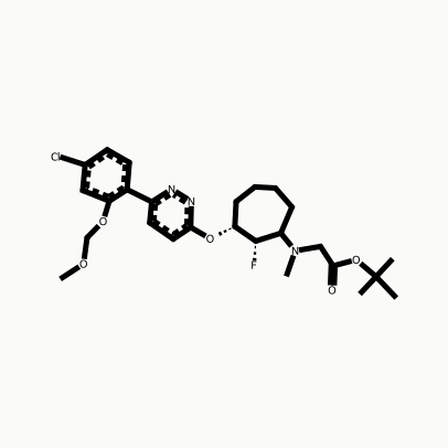 COCOc1cc(Cl)ccc1-c1ccc(O[C@@H]2CCCCC(N(C)CC(=O)OC(C)(C)C)[C@@H]2F)nn1